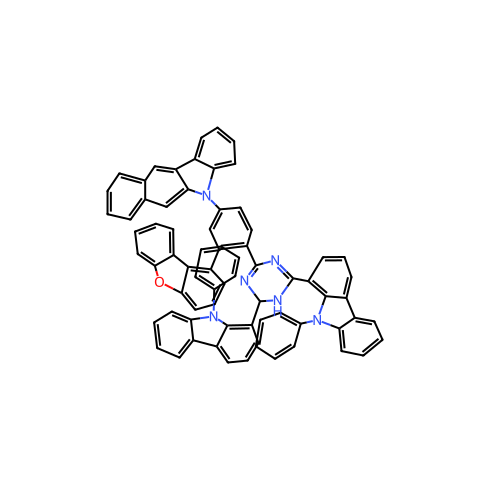 c1ccc(-n2c3ccccc3c3cccc(C4=NC(c5ccc(-n6c7ccccc7c7cc8ccccc8cc76)cc5-c5cccc6oc7ccccc7c56)=NC(c5cccc6c7ccccc7n(-c7ccccc7)c56)N4)c32)cc1